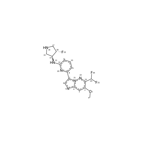 COc1cc2ncc(-c3cccc(N[C@H]4CNC[C@@H]4F)n3)n2nc1C(F)F